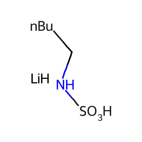 CCCCCNS(=O)(=O)O.[LiH]